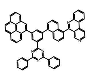 c1ccc(-c2nc(-c3ccccc3)nc(-c3cc(-c4cccc5c(-c6nc7ccccc7c7ccncc67)cccc45)cc(-c4cc5cccc6ccc7cccc4c7c65)c3)n2)cc1